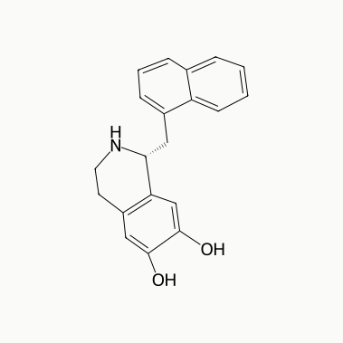 Oc1cc2c(cc1O)[C@@H](Cc1cccc3ccccc13)NCC2